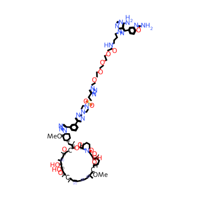 CO[C@@H]1C[C@H]2CC[C@H](C)[C@](O)(O2)C(=O)C(=O)N2CCCC[C@H]2C(=O)O[C@H]([C@H](C)C[C@@H]2CCC(n3nncc3-c3cccc(-c4cnc(N5CCN(S(=O)(=O)CCc6cn(CCOCCOCCOCCOCC(=O)NCCCCn7nc(-c8ccc9oc(N)nc9c8)c8c(N)ncnc87)nn6)CC5)nc4)c3)[C@H](OC)C2)CC(=O)[C@H](C)/C=C(/C)[C@H](O)[C@@H](O)C(=O)[C@H](C)C[C@H](C)\C=C/C=C\C=C/1C